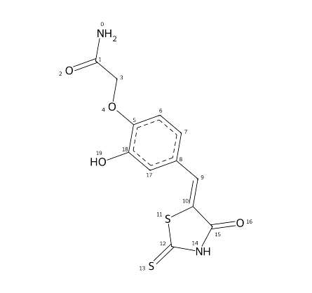 NC(=O)COc1ccc(/C=C2\SC(=S)NC2=O)cc1O